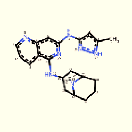 Cc1cc(Nc2cc3ncccc3c(NC3CC4CCCC(C3)N4C)n2)n[nH]1